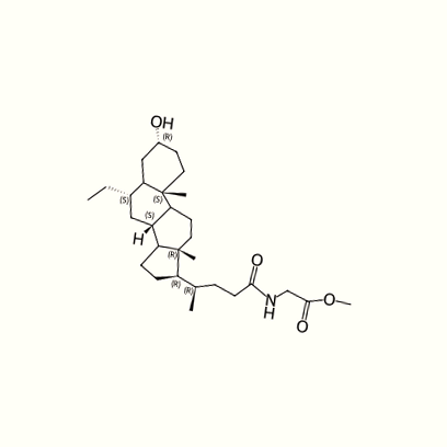 CC[C@H]1C[C@@H]2C(CC[C@@]3(C)C2CC[C@@H]3[C@H](C)CCC(=O)NCC(=O)OC)[C@@]2(C)CC[C@@H](O)CC12